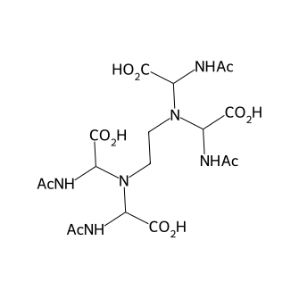 CC(=O)NC(C(=O)O)N(CCN(C(NC(C)=O)C(=O)O)C(NC(C)=O)C(=O)O)C(NC(C)=O)C(=O)O